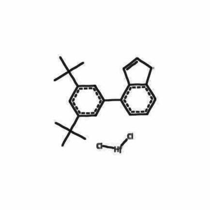 CC(C)(C)c1cc(-c2cccc3c2C=C[CH]3)cc(C(C)(C)C)c1.[Cl][Hf][Cl]